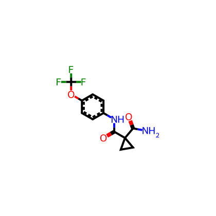 NC(=O)C1(C(=O)Nc2ccc(OC(F)(F)F)cc2)CC1